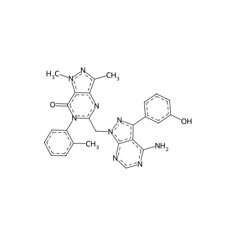 Cc1ccccc1-n1c(Cn2nc(-c3cccc(O)c3)c3c(N)ncnc32)nc2c(C)nn(C)c2c1=O